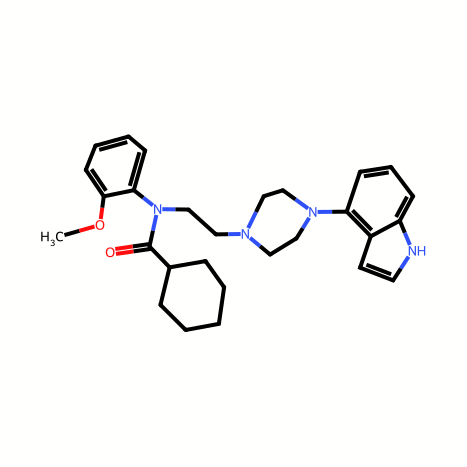 COc1ccccc1N(CCN1CCN(c2cccc3[nH]ccc23)CC1)C(=O)C1CCCCC1